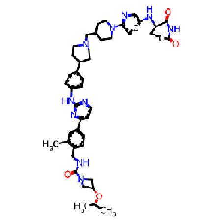 Cc1cc(-c2ccnc(Nc3ccc(C4CCN(CC5CCN(c6ccc(NC7CCC(=O)NC7=O)cn6)CC5)CC4)cc3)n2)ccc1CNC(=O)N1CC(OC(C)C)C1